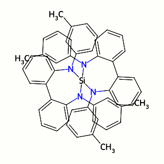 Cc1cccc(N2c3ccccc3-c3ccccc3N(c3cccc(C)c3)[Si]23N(c2cccc(C)c2)c2ccccc2-c2ccccc2N3c2cccc(C)c2)c1